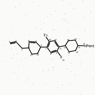 C=CCC1C=CC(c2cc(F)c(C3CCC(CCCCC)CC3)cc2F)CC1